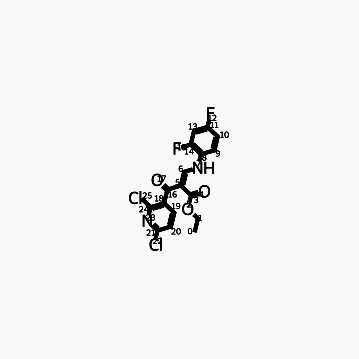 CCOC(=O)/C(=C\Nc1ccc(F)cc1F)C(=O)c1ccc(Cl)nc1Cl